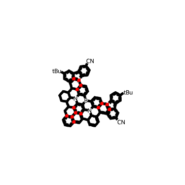 CC(C)(C)c1ccc2c(c1)c1cc(C#N)ccc1n2-c1ccc2c(c1)N(C1C(C3=CC=CCC3)=CC=CC1C1=CCCC=C1)c1cc(-c3ccccc3)cc3c1B2c1ccc(-n2c4ccc(C#N)cc4c4cc(C(C)(C)C)ccc42)cc1N3C1C(C2CCCCC2)CCCC1C1CCCCC1